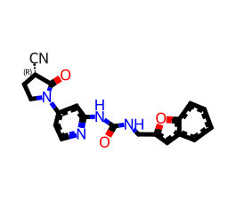 N#C[C@H]1CCN(c2ccnc(NC(=O)NCc3cc4ccccc4o3)c2)C1=O